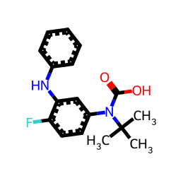 CC(C)(C)N(C(=O)O)c1ccc(F)c(Nc2ccccc2)c1